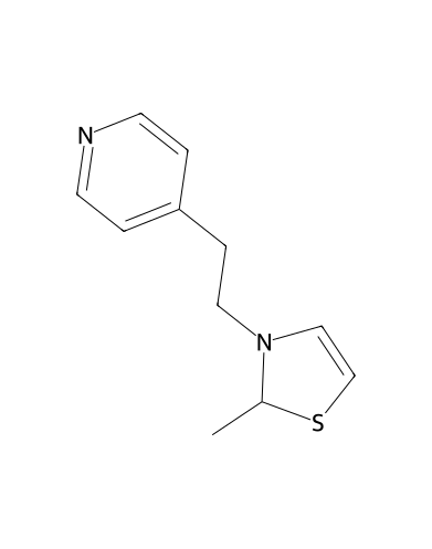 CC1SC=CN1CCc1ccncc1